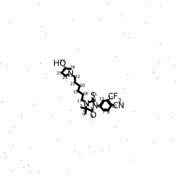 CC1(C)C(=O)N(c2ccc(C#N)c(C(F)(F)F)c2)C(=S)N1CCCCCCN1CC[C@H](O)C1